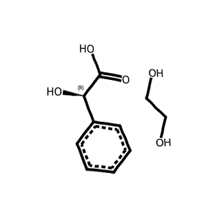 O=C(O)[C@H](O)c1ccccc1.OCCO